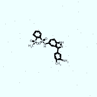 Cc1ccc(-c2n[nH]c3ccc(NS(=O)(=O)c4ccccc4S(C)(=O)=O)cc23)cc1N